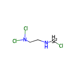 Cl[SiH2]NCCN(Cl)Cl